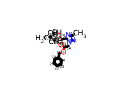 Cc1nc(CO[Si](C)(C)C(C)(C)C)n(CC(=O)OCc2ccccc2)n1